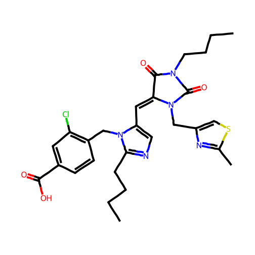 CCCCc1ncc(C=C2C(=O)N(CCCC)C(=O)N2Cc2csc(C)n2)n1Cc1ccc(C(=O)O)cc1Cl